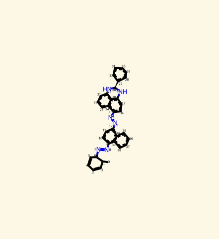 CC1C=CC=CC1/N=N/c1ccc(/N=N/c2ccc3c4c(cccc24)N[C@@H](c2ccccc2)N3)c2ccccc12